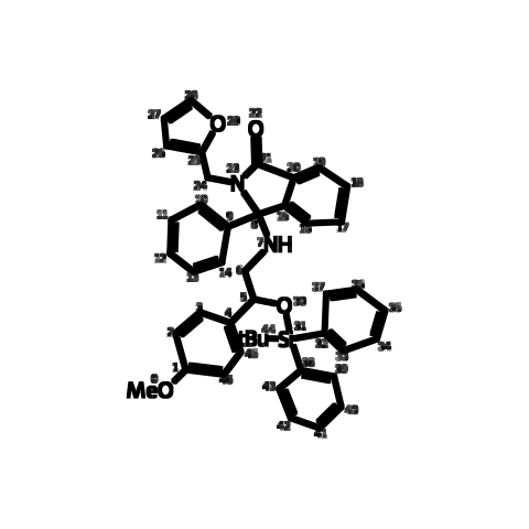 COc1ccc(C(CNC2(c3ccccc3)c3ccccc3C(=O)N2Cc2ccco2)O[Si](c2ccccc2)(c2ccccc2)C(C)(C)C)cc1